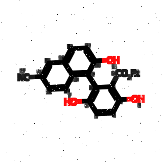 CCOC(=O)c1c(O)ccc(O)c1-c1c(O)ccc2cc(C#N)ccc12